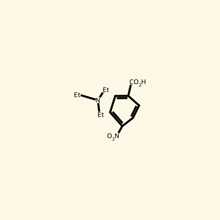 CCN(CC)CC.O=C(O)c1ccc([N+](=O)[O-])cc1